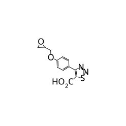 O=C(O)c1snnc1-c1ccc(OCC2CO2)cc1